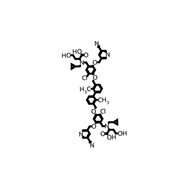 Cc1c(COc2cc(OCc3cncc(C#N)c3)c(CN(CC3CC3)C(CCO)C(=O)O)cc2Cl)cccc1-c1cccc(COc2cc(OCc3cncc(C#N)c3)c(CN(CC3CC3)C(CCO)C(=O)O)cc2Cl)c1C